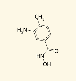 Cc1ccc(C(=O)NO)cc1N